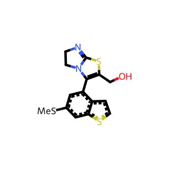 CSc1cc(C2=C(CO)SC3=NCCN32)c2ccsc2c1